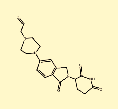 O=CCN1CCN(c2ccc3c(c2)CN(C2CCC(=O)NC2=O)C3=O)CC1